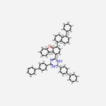 c1ccc(-c2ccc(C3=NC(c4ccc(-c5ccccc5)cc4)NC(c4ccc(-c5cccc6c(-c7ccccc7)cccc56)c5oc6ccccc6c45)=N3)cc2)cc1